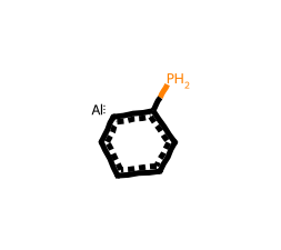 Pc1ccccc1.[Al]